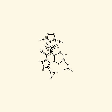 CC(C)CN1CCC(CS(=O)(=O)N2[C@@H]3CC[C@H]2C[C@@H](NC(=O)c2cc(C4CC4)on2)C3)CC1